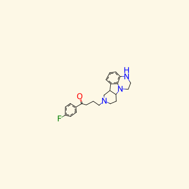 O=C(CCCN1CCC2C(C1)c1cccc3c1N2CCN3)c1ccc(F)cc1